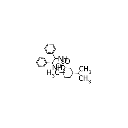 CC(C)C1CCC(C)C(S(=O)(=O)NC(c2ccccc2)C(N)c2ccccc2)C1